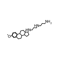 COc1ccc2c(c1)CCC1C2CC[C@@]2(C)C1CC[C@@H]2NCCCNCCCN